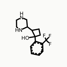 OC1(c2ccccc2C(F)(F)F)CCC1C1CNCCN1